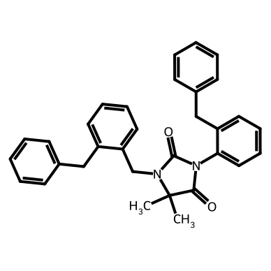 CC1(C)C(=O)N(c2ccccc2Cc2ccccc2)C(=O)N1Cc1ccccc1Cc1ccccc1